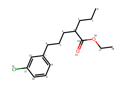 CCCC(CCCc1cccc(Cl)c1)C(=O)OCC